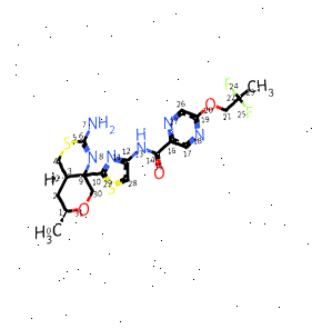 C[C@H]1C[C@H]2CSC(N)=NC2(c2nc(NC(=O)c3cnc(OCC(C)(F)F)cn3)cs2)CO1